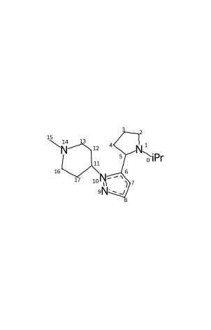 CC(C)N1CCCC1c1ccnn1C1CCN(C)CC1